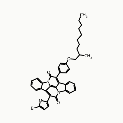 CCCCCCCCC(C)COc1ccc(-c2c(=O)n3c4ccccc4c4c(-c5ccc(Br)o5)c(=O)n5c6ccccc6c2c5c43)cc1